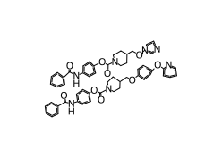 O=C(Nc1ccc(OC(=O)N2CCC(COc3ccc(Oc4ccccn4)cc3)CC2)cc1)c1ccccc1.O=C(Nc1ccc(OC(=O)N2CCC(COn3ccnc3)CC2)cc1)c1ccccc1